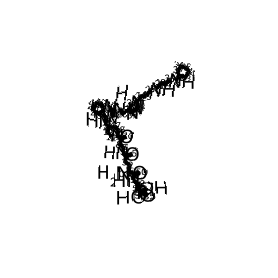 N[C@@H](CCC(=O)NCCC(=O)N1CCC(Nc2nc(NCc3cn(CCCNCCCNC4CCCCC4)nn3)nc3ccccc23)CC1)C(=O)NCCP(=O)(O)O